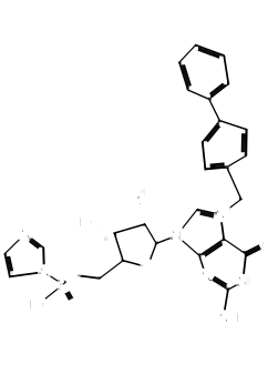 Nc1nc2c(c(=O)[nH]1)[n+](Cc1ccc(-c3ccccc3)cc1)cn2C1OC(COP(=O)(O)n2ccnc2)[C@H](O)[C@@H]1O